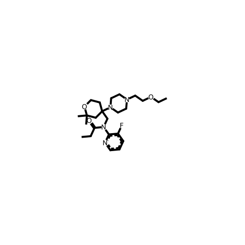 CCOCCN1CCN(C2(CN(C(=O)CC)c3ncccc3F)CCOC(C)(C)C2)CC1